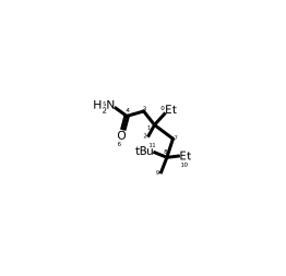 CCC(C)(CC(N)=O)CC(C)(CC)C(C)(C)C